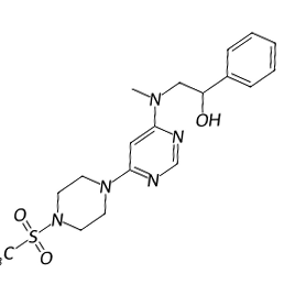 CN(CC(O)c1ccccc1)c1cc(N2CCN(S(=O)(=O)C(F)(F)F)CC2)ncn1